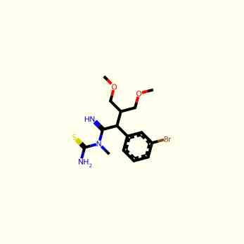 COCC(COC)C(C(=N)N(C)C(N)=S)c1cccc(Br)c1